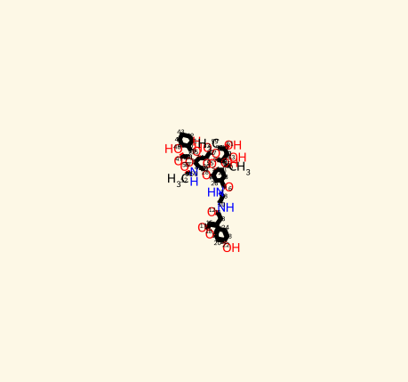 CC[C@@H]1CC(C(=O)NCCNC(=O)Cc2cc(=O)oc3cc(O)ccc23)C[C@@H](O[C@@H]2OC(CO)C(O)C(O[C@@H](CC3CCCCC3)C(=O)O)C2NC(C)=O)C1OC1O[C@@H](C)C(O)[C@H](O)[C@@H]1O